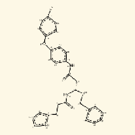 O=C(C[C@@H](NC(=O)CCc1cnc[nH]1)OCc1ccccc1)Nc1ccc(Oc2ccc(F)cc2)cc1